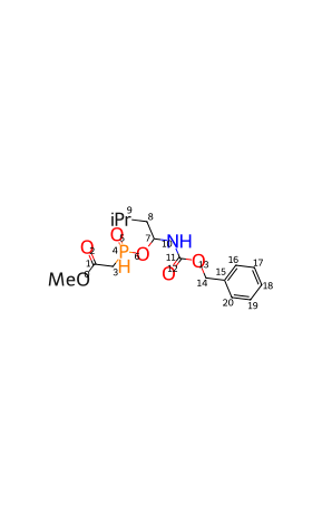 COC(=O)C[PH](=O)OC(CC(C)C)NC(=O)OCc1ccccc1